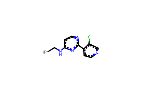 CC(C)CNc1ccnc(-c2ccncc2Cl)n1